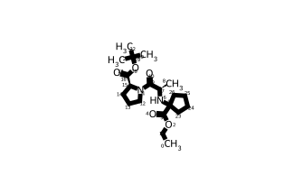 CCOC(=O)C1(N[C@@H](C)C(=O)N2CCC[C@H]2C(=O)OC(C)(C)C)CCCC1